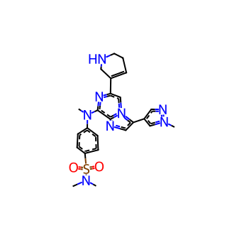 CN(c1ccc(S(=O)(=O)N(C)C)cc1)c1nc(C2=CCCNC2)cn2c(-c3cnn(C)c3)cnc12